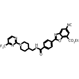 [C-]#[N+]c1cc(C(=O)OCC)c2oc(-c3ccc(C(=O)NCC4CCN(c5nccc(C(F)(F)F)n5)CC4)cc3)nc2c1